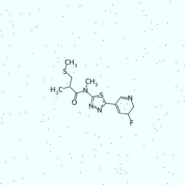 CSCC(C)C(=O)N(C)c1nnc(C2=CC(F)CN=C2)s1